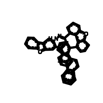 N/N=C(\N=C(/c1ccc2c(c1)oc1ccccc12)C1C=CC(c2ccccc2)=CC1)c1cccc2oc3cccc(-c4cccc5sc6c7ccccc7ccc6c45)c3c12